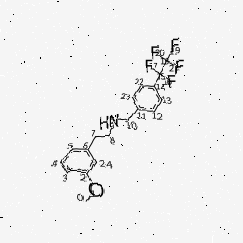 COc1cccc(CCNCc2ccc(C(F)(F)C(F)(F)F)cc2)c1